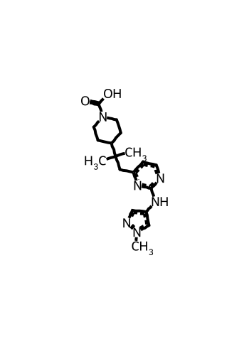 Cn1cc(Nc2nccc(CC(C)(C)C3CCN(C(=O)O)CC3)n2)cn1